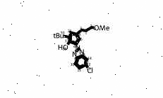 COCCCc1cc(-n2nc3ccc(Cl)cc3n2)c(O)c(C(C)(C)C)c1